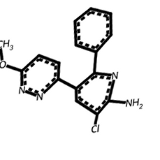 COc1ccc(-c2cc(Cl)c(N)nc2-c2ccccc2)nn1